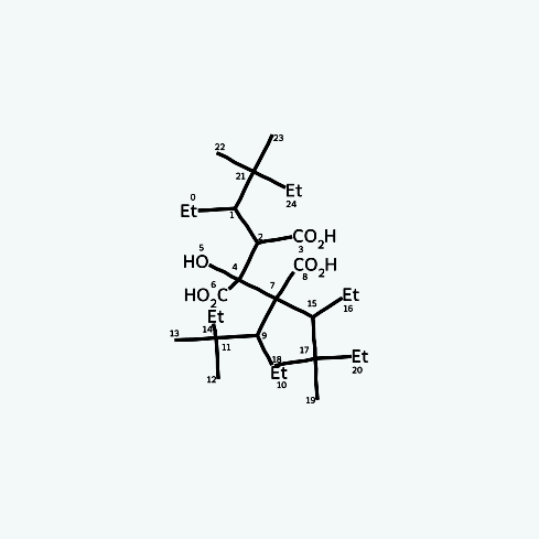 CCC(C(C(=O)O)C(O)(C(=O)O)C(C(=O)O)(C(CC)C(C)(C)CC)C(CC)C(C)(C)CC)C(C)(C)CC